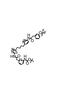 CC(C)(C)OC(=O)Nc1cccc(CC(=O)Nc2nnc(CCCCc3ccc(NC(=O)Cc4cccc(OC(F)(F)F)c4)nn3)s2)n1